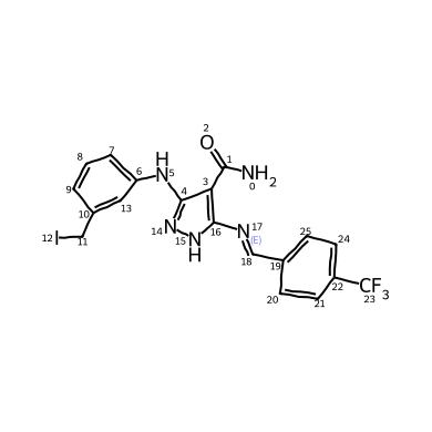 NC(=O)c1c(Nc2cccc(CI)c2)n[nH]c1/N=C/c1ccc(C(F)(F)F)cc1